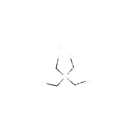 CC(C)C[N+](CC(C)C)(CC(C)C)CC(C)C.[OH-]